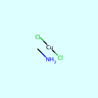 CN.[Cl][Cu][Cl]